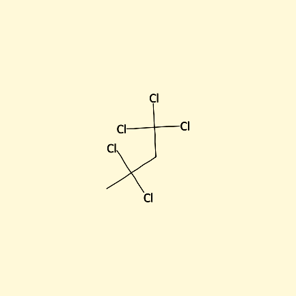 CC(Cl)(Cl)CC(Cl)(Cl)Cl